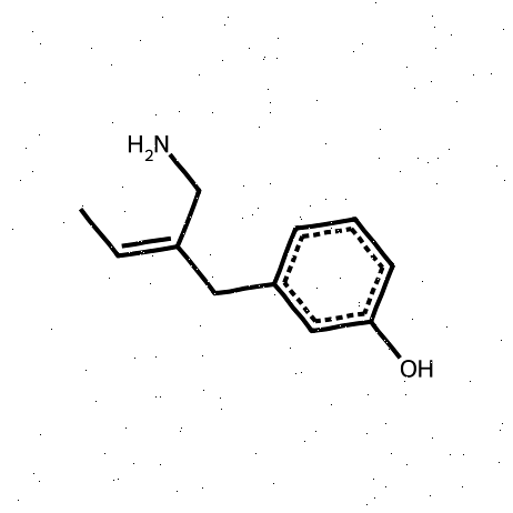 C/C=C(\CN)Cc1cccc(O)c1